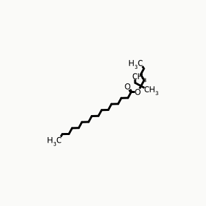 CCCCCCCCCCCCCCCC(=O)OC(C)(CC)CCCC